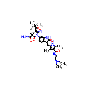 CCN(CC)CCNC(=O)c1c(C)[nH]c(C=C2C(=O)Nc3cc(N(C(=O)C4(C(N)=O)CC4)c4cc(C(C)(C)C)on4)ccc32)c1C